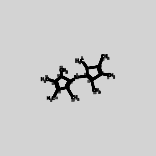 CC1=C(C)C(C)[C]([Ni][C]2=C(C)C(C)=C(C)C2C)=C1C